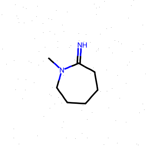 CN1CCCCCC1=N